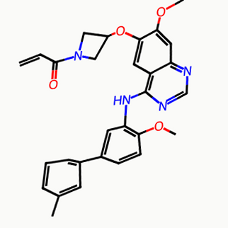 C=CC(=O)N1CC(Oc2cc3c(Nc4cc(-c5cccc(C)c5)ccc4OC)ncnc3cc2OC)C1